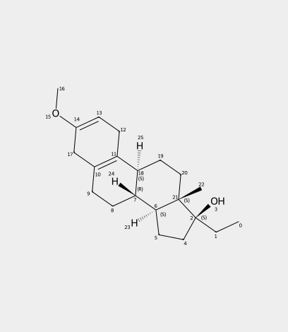 CC[C@]1(O)CC[C@H]2[C@@H]3CCC4=C(CC=C(OC)C4)[C@H]3CC[C@@]21C